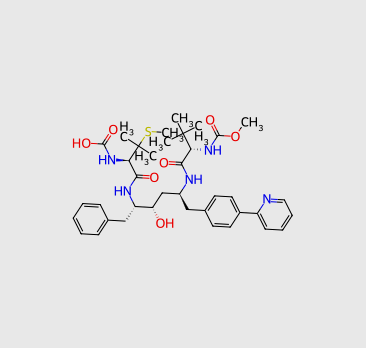 COC(=O)N[C@H](C(=O)N[C@@H](Cc1ccc(-c2ccccn2)cc1)C[C@H](O)[C@H](Cc1ccccc1)NC(=O)[C@@H](NC(=O)O)C(C)(C)SC)C(C)(C)C